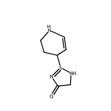 O=C1CNS(C2C=CNCC2)=N1